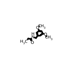 CCC(=O)NCc1cc(OC)cc(OC)c1